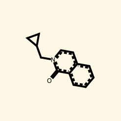 O=c1c2ccccc2ccn1CC1CC1